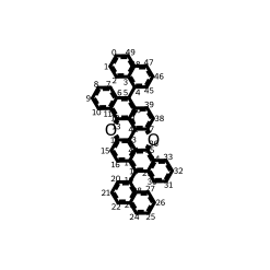 c1ccc2c(-c3c4ccccc4c4oc5ccc6c(-c7cccc8ccccc78)c7ccccc7c7oc8ccc3c4c8-c5c67)cccc2c1